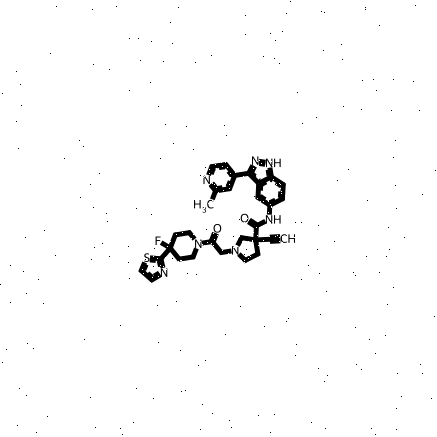 C#CC1(C(=O)Nc2ccc3[nH]nc(-c4ccnc(C)c4)c3c2)CCN(CC(=O)N2CCC(F)(c3nccs3)CC2)C1